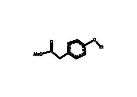 [CH2]COc1ccc(CC(=O)OC)cc1